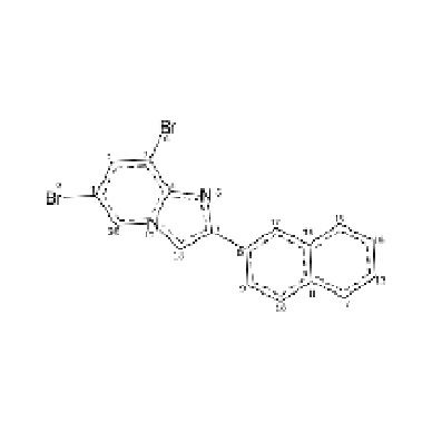 Brc1cc(Br)c2nc(-c3ccc4ccccc4c3)cn2c1